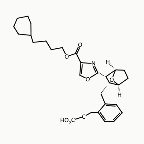 O=C(O)CCc1ccccc1C[C@@H]1[C@H](c2nc(C(=O)OCCCCC3CCCCC3)co2)[C@H]2CC[C@@H]1O2